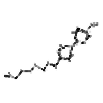 COCCCCCCOc1ccc(-c2ccc(C(=O)O)cc2)cc1